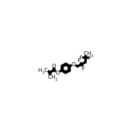 C=C(C)C(=O)Oc1ccc(OCC(F)(F)CC(C)(F)F)cc1